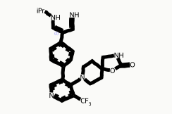 CC(C)N/C=C(\C=N)c1ccc(-c2cncc(C(F)(F)F)c2N2CCC3(CC2)CNC(=O)O3)cc1